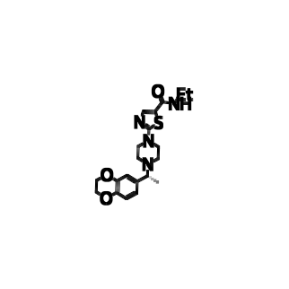 CCNC(=O)c1cnc(N2CCN([C@H](C)c3ccc4c(c3)OCCO4)CC2)s1